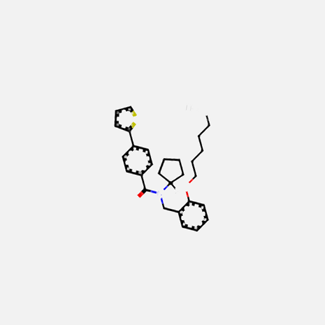 [2H]C1(N(Cc2ccccc2OCCCCCC(=O)O)C(=O)c2ccc(-c3cccs3)cc2)CCCC1